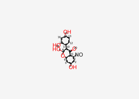 O=Nc1cc(O)cc2oc(O)c(-c3ccc(O)cc3O)c(=O)c12